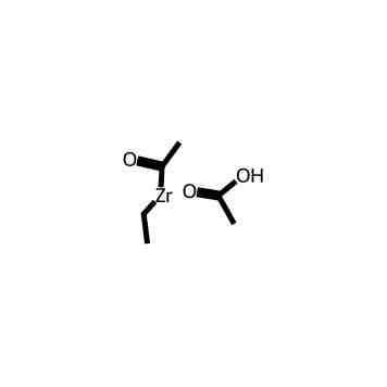 CC(=O)O.C[CH2][Zr][C](C)=O